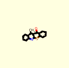 Cc1c2ccccc2nc2sc3ccccc3c(=O)c12